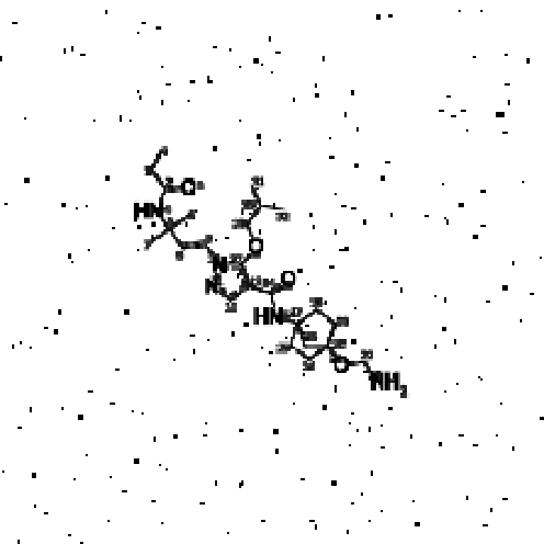 CCC(=O)NC(C)(C)/C=C/n1ncc(C(=O)NC23CCC(OCN)(CC2)C3)c1OCC(C)C